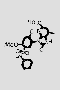 COc1cc(Cl)c(-n2c(=O)[nH]c3c(C)cc(C(=O)O)nc32)cc1S(=O)(=O)N(C)c1ccccc1